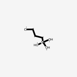 O[Si](O)(O)CCCCl